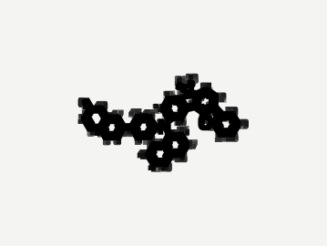 CC1C=Cc2ccc(-c3ccc(N(c4ccc5c(c4)-c4c(ccc6c4oc4ccccc46)[Si]5(C)C)c4cccc5ccccc45)cc3)cc2C1